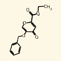 CCOC(=O)c1cc(=O)c(OCc2ccccc2)co1